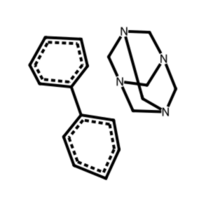 C1N2CN3CN1CN(C2)C3.c1ccc(-c2ccccc2)cc1